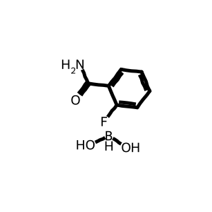 NC(=O)c1ccccc1F.OBO